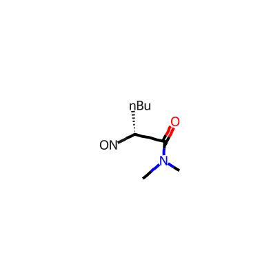 CCCC[C@@H](N=O)C(=O)N(C)C